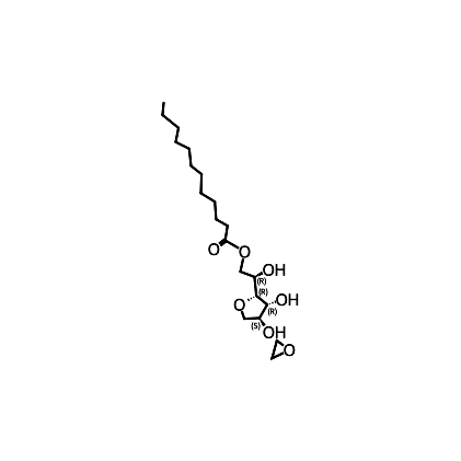 C1CO1.CCCCCCCCCCCC(=O)OC[C@@H](O)[C@H]1OC[C@H](O)[C@H]1O